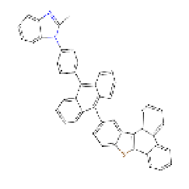 Cc1nc2ccccc2n1-c1ccc(-c2c3ccccc3c(-c3ccc4sc5c6ccccc6c6ccccc6c5c4c3)c3ccccc23)cc1